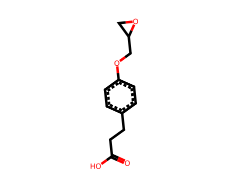 O=C(O)CCc1ccc(OCC2CO2)cc1